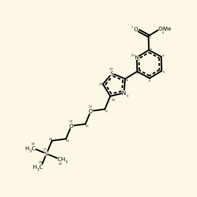 COC(=O)c1cccc(-c2nc(COCOCC[Si](C)(C)C)cs2)n1